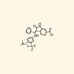 COC(=O)c1ccc2c(c1)NC(=O)C2=C(Nc1ccc(CN(C)C)c(C(F)(F)F)c1)c1ccccc1